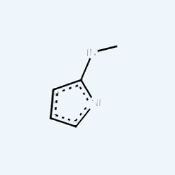 [Si]Nc1ccc[nH]1